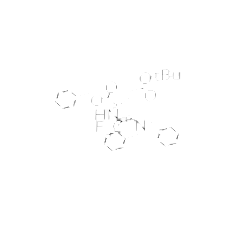 C[C@@H]([C@H](N[C@@H](CCC(=O)OC(C)(C)C)C(=O)OCc1ccccc1)C(F)(F)F)N(Cc1ccccc1)Cc1ccccc1